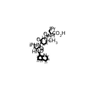 CC(C)C[C@H](NC(=O)N1CC(=O)[C@@H](NC(=O)[C@H](CC(C)C)NC(=O)c2cccc3cccnc23)CC[C@H]1C)C(=O)O